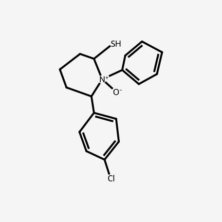 [O-][N+]1(c2ccccc2)C(S)CCCC1c1ccc(Cl)cc1